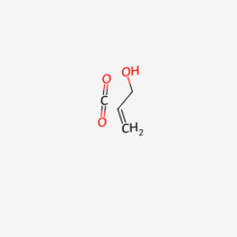 C=CCO.O=C=O